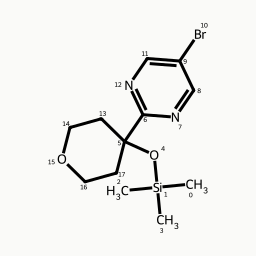 C[Si](C)(C)OC1(c2ncc(Br)cn2)CCOCC1